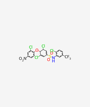 O=[N+]([O-])c1ccc(OC2C(Cl)=CC(S(=O)(=O)Nc3cc(C(F)(F)F)ccc3Cl)=CC2Cl)c(Cl)c1